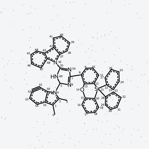 Cc1c(C)n(C2N=C(c3cccc4c3Oc3ccccc3[Si]4(c3ccccc3)c3ccccc3)N=C(n3c4ccccc4c4ccccc43)N2)c2c#cccc12